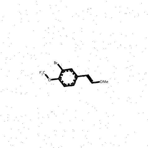 COC=Cc1ccc(OC(F)(F)F)c(Br)c1